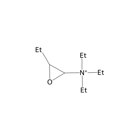 CCC1OC1[N+](CC)(CC)CC